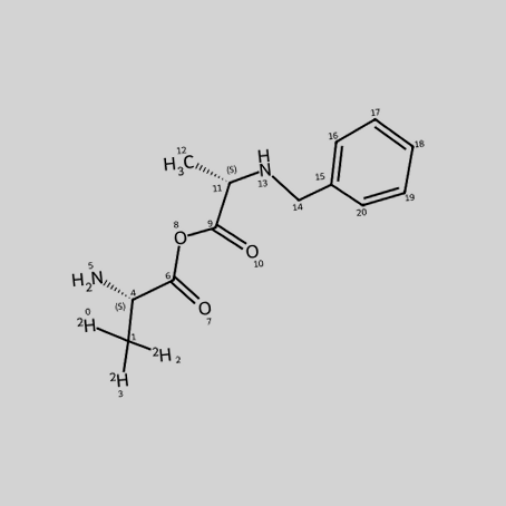 [2H]C([2H])([2H])[C@H](N)C(=O)OC(=O)[C@H](C)NCc1ccccc1